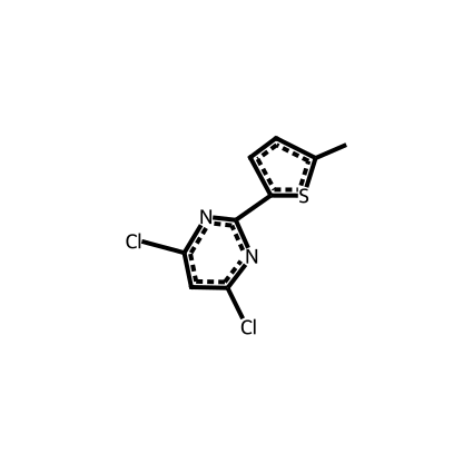 Cc1ccc(-c2nc(Cl)cc(Cl)n2)s1